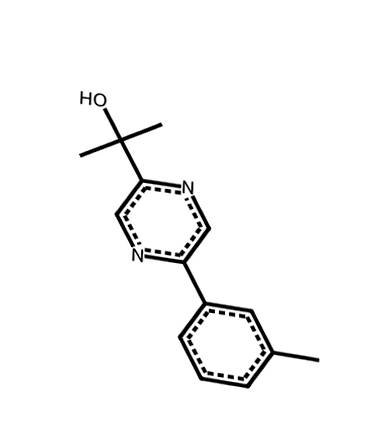 Cc1cccc(-c2cnc(C(C)(C)O)cn2)c1